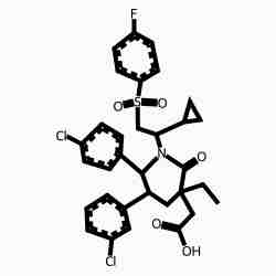 CCC1(CC(=O)O)CC(c2cccc(Cl)c2)C(c2ccc(Cl)cc2)N(C(CS(=O)(=O)c2ccc(F)cc2)C2CC2)C1=O